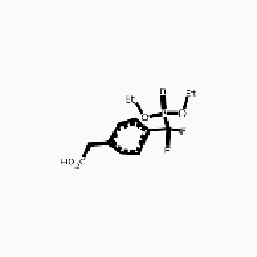 CCOP(=O)(OCC)C(F)(F)c1ccc(CC(=O)O)cc1